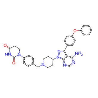 Nc1ncnc2c1c(-c1ccc(Oc3ccccc3)cc1)nn2C1CCN(Cc2ccc(N3CCC(=O)NC3=O)cc2)CC1